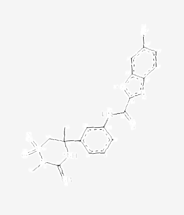 CN1C(=N)NC(C)(c2cccc(NC(=O)c3nc4ccc(Br)cc4o3)c2)CS1(=O)=O